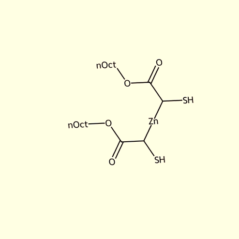 CCCCCCCCOC(=O)[CH](S)[Zn][CH](S)C(=O)OCCCCCCCC